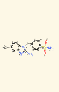 N#Cc1ccc2c(c1)nc(N)n2Cc1ccc(S(N)(=O)=O)cc1